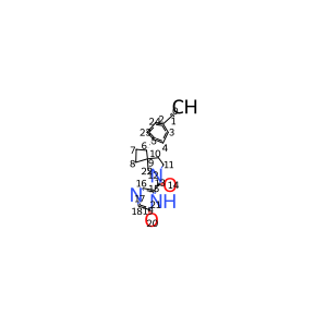 C#Cc1ccc([C@H]2CCC23CCN(C(=O)c2cncc(=O)[nH]2)C3)cc1